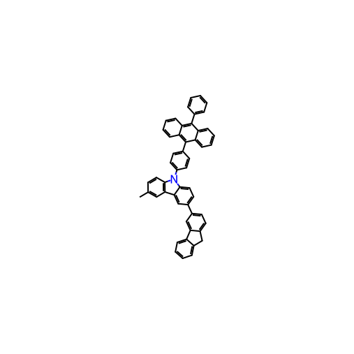 Cc1ccc2c(c1)c1cc(-c3ccc4c(c3)-c3ccccc3C4)ccc1n2-c1ccc(-c2c3ccccc3c(-c3ccccc3)c3ccccc23)cc1